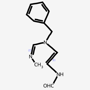 C/N=C\N(/C=C/NC=O)Cc1ccccc1